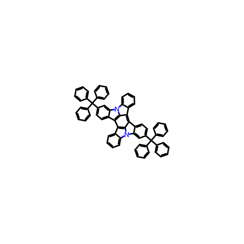 c1ccc(C(c2ccccc2)(c2ccccc2)c2ccc3c4c5c6ccccc6n6c7cc(C(c8ccccc8)(c8ccccc8)c8ccccc8)ccc7c(c7c8ccccc8n(c3c2)c74)c56)cc1